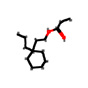 CCCC1(CCOC(=O)CC)CCCCC1